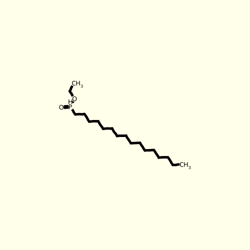 CCCCCCCCCCCCCCCC[PH](=O)OCC